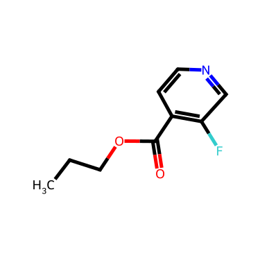 CCCOC(=O)c1ccncc1F